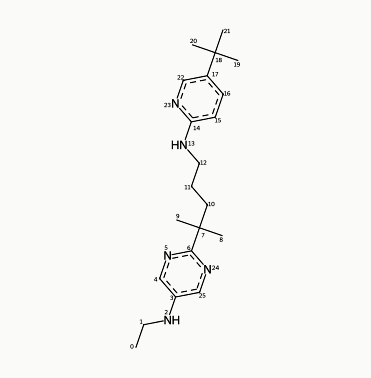 CCNc1cnc(C(C)(C)CCCNc2ccc(C(C)(C)C)cn2)nc1